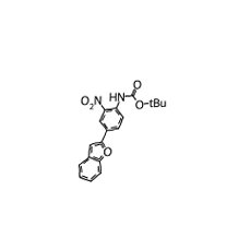 CC(C)(C)OC(=O)Nc1ccc(-c2cc3ccccc3o2)cc1[N+](=O)[O-]